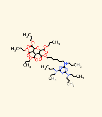 CCCOC(=O)C1OC(C(=O)OCCC)C(C(=O)OCCCCCCN(CCC)c2nc(N(CCC)CCC)nc(N(CCC)CCC)n2)C(C(=O)OCCC)C1C(=O)OCCC